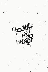 CCC[S+]([O-])N1CCNCC1CCc1c(F)cccc1NC(=O)CC(c1ccc(Cl)c(F)c1)c1cc(C(F)(F)F)nn1C